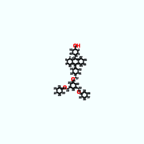 Oc1ccc(-c2c3ccccc3c(-c3ccc(COc4cc(COc5ccccc5)cc(COc5ccccc5)c4)cc3)c3ccccc23)cc1